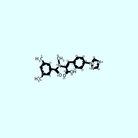 Cc1cc(C)cc(C(=O)N(C)C(=Cc2ccc(-n3cncn3)cc2)C(=O)O)c1